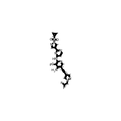 CC(C)c1c(Nc2ccnc(-c3cnn(S(=O)(=O)C4CC4)c3)n2)ncc(C#Cc2cnn(CC(F)F)c2)c1N